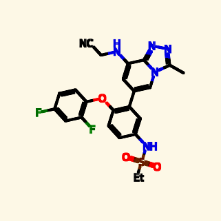 CCS(=O)(=O)Nc1ccc(Oc2ccc(F)cc2F)c(-c2cc(NCC#N)c3nnc(C)n3c2)c1